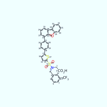 O=C(O)CN(Cc1cccc(C(F)(F)F)c1)S(=O)(=O)c1ccc(-c2ccc(-c3cccc4c3oc3ccccc34)cc2)s1